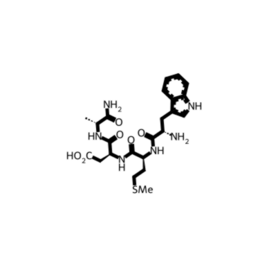 CSCC[C@H](NC(=O)[C@@H](N)Cc1c[nH]c2ccccc12)C(=O)N[C@@H](CC(=O)O)C(=O)N[C@H](C)C(N)=O